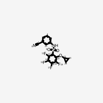 N#Cc1cccc(NS(=O)(=O)c2c(F)c(F)c(F)c(F)c2OC2CC2)c1